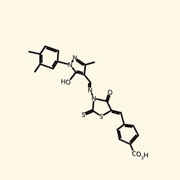 Cc1ccc(-n2nc(C)c(C=NN3C(=O)C(=Cc4ccc(C(=O)O)cc4)SC3=S)c2O)cc1C